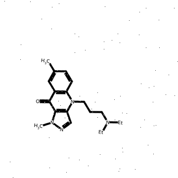 CCN(CC)CCCn1c2ccc(C)cc2c(=O)c2c1cnn2C